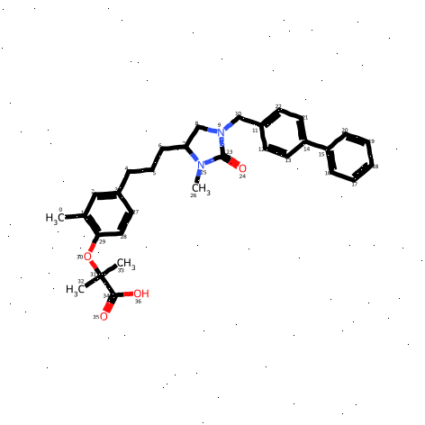 Cc1cc(CCCC2CN(Cc3ccc(-c4ccccc4)cc3)C(=O)N2C)ccc1OC(C)(C)C(=O)O